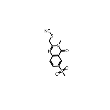 Cn1c(CSC#N)nc2ccc(S(C)(=O)=O)cc2c1=O